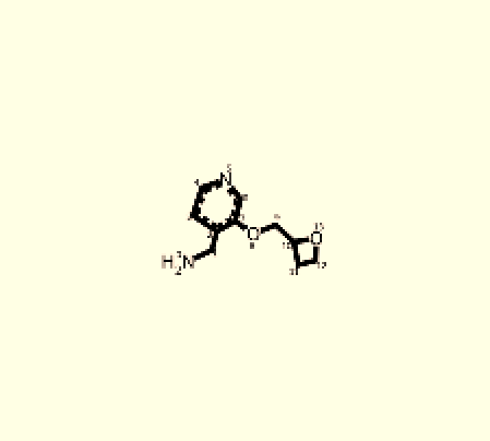 NCc1ccncc1OCC1CCO1